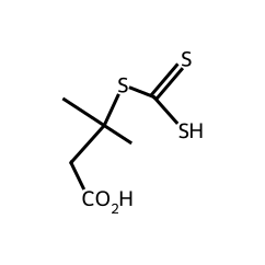 CC(C)(CC(=O)O)SC(=S)S